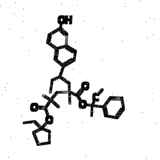 CCC(CC(C)(CC(C)(C)C(=O)OC1(CC)CCCC1)C(=O)OC(C)(CC)c1ccccc1)c1ccc2cc(O)ccc2c1